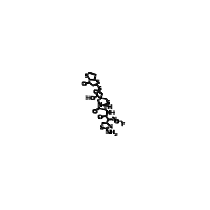 Nc1nc(C(=NOCF)C(=O)NC2C(=O)N3CC(C=CSc4cc(=O)c5sccc5s4)(C(=O)O)CS[C@H]23)cs1